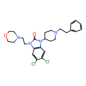 O=c1n(CCN2CCOCC2)c2cc(Cl)c(Cl)cc2n1C1CCN(CCc2ccccc2)CC1